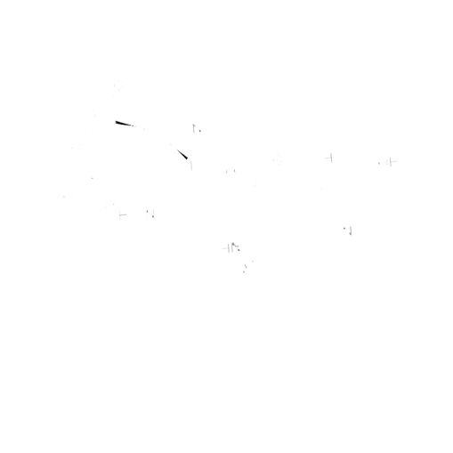 CC[C@]1(O)C[C@H]2CN(CCc3c([nH]c4ccccc34)C(C(=O)OC)(c3cc4c(cc3OC)N(C)[C@H]3[C@@](O)(C(=O)OC)[C@H](OC(C)=O)[C@]5(CC)C=CCN6CC[C@]43[C@@H]65)C2)C1